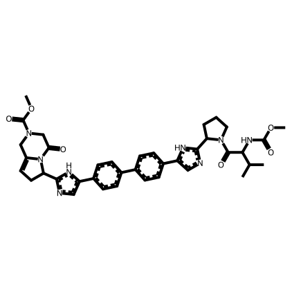 COC(=O)NC(C(=O)N1CCCC1c1ncc(-c2ccc(-c3ccc(-c4cnc(C5CC=C6CN(C(=O)OC)CC(=O)N65)[nH]4)cc3)cc2)[nH]1)C(C)C